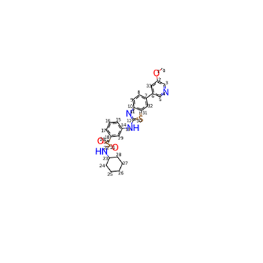 COc1cncc(-c2ccc3nc(Nc4cccc(S(=O)(=O)NC5CCCCC5)c4)sc3c2)c1